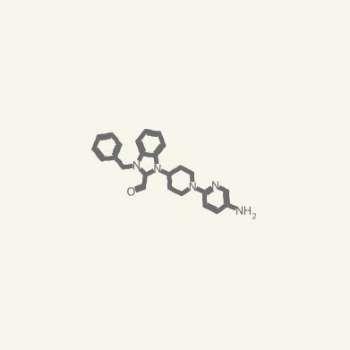 Nc1ccc(N2CCC(N3c4ccccc4N(Cc4ccccc4)C3C=O)CC2)nc1